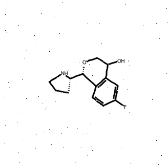 OC1CO[C@@H]([C@@H]2CCCN2)c2ccc(F)cc21